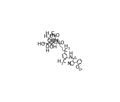 Cc1ccc(C(C)CCCC(=O)N(CCC(=O)N(C)C)C[C@H](O)[C@@H](O)[C@H](O)[C@H](O)CO)cc1CNC1(c2cnccc2-c2ccccc2OC2CC2)CC1